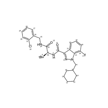 CC(C)(C)[C@H](NC(=O)c1nn(CC2CCCCC2)c2c(F)cccc12)C(=O)NCc1ccccc1Cl